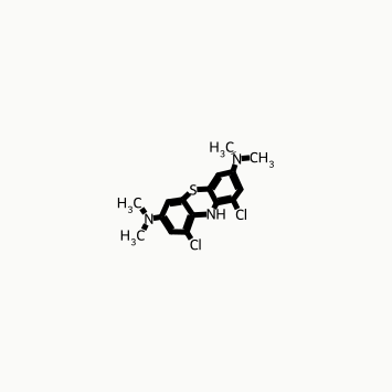 CN(C)c1cc(Cl)c2c(c1)Sc1cc(N(C)C)cc(Cl)c1N2